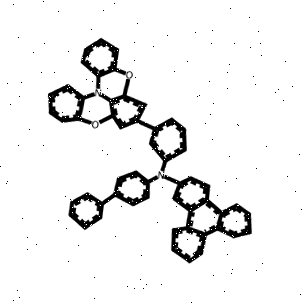 c1ccc(-c2ccc(N(c3cccc(-c4cc5c6c(c4)Oc4ccccc4N6c4ccccc4O5)c3)c3ccc4c5ccccc5c5ccccc5c4c3)cc2)cc1